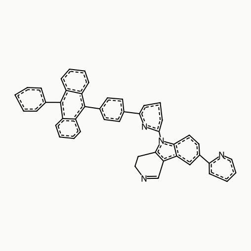 C1=NCCc2c1c1cc(-c3ccccn3)ccc1n2-c1cccc(-c2ccc(-c3c4ccccc4c(-c4ccccc4)c4ccccc34)cc2)n1